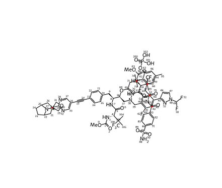 COC(=O)N[C@H](C(=O)N[C@@H](Cc1ccc(C#Cc2cnc(N3CC4CCC(C3)N4C3COC3)nc2)cc1)[C@H](CN(Cc1c(F)cc(-c2ccn(C(F)F)n2)cc1F)NC(=O)[C@@H](NC(=O)OC)C(C)(C)C(F)(F)F)OC(=O)CC(C)(C)c1c(CC(=O)NC(=O)c2ccc(S(N)(=O)=O)cc2)cc(C)cc1OP(=O)(O)O)C(C)(C)C(F)(F)F